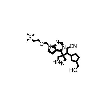 C[Si](C)(C)CCOCn1ccc2c(C3(C(CC#N)C4CCC(CO)C4)C=NNC3)ncnc21